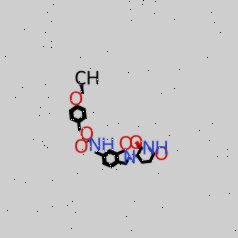 C#CCOc1ccc(COC(=O)NCc2ccc3c(c2)C(=O)N(C2CCC(=O)NC2=O)C3)cc1